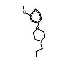 CCCN1CCN(c2cccc(OC)c2)CC1